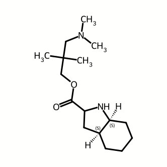 CN(C)CC(C)(C)COC(=O)C1C[C@@H]2CCCC[C@@H]2N1